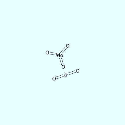 [O]=[Mo](=[O])=[O].[O]=[Zr]=[O]